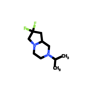 CC(C)N1CCN2CC(F)(F)CC2C1